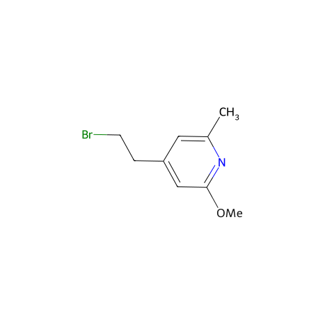 COc1cc(CCBr)cc(C)n1